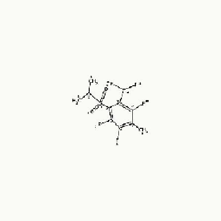 Cc1c(F)c(F)c(S(=O)(=O)C(C)C)c(C(F)F)c1F